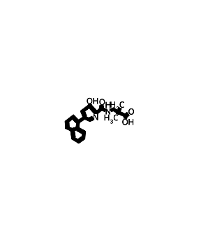 CC(C)(CNC(=O)c1ncc(-c2cccc3ccccc23)cc1O)C(=O)O